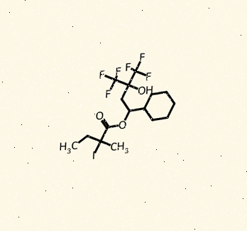 CCC(C)(I)C(=O)OC(CC(O)(C(F)(F)F)C(F)(F)F)C1CCCCC1